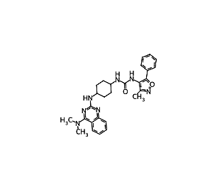 Cc1noc(-c2ccccc2)c1NC(=O)NC1CCC(Nc2nc(N(C)C)c3ccccc3n2)CC1